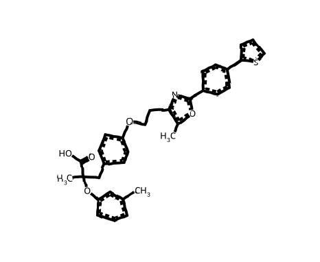 Cc1cccc(OC(C)(Cc2ccc(OCCc3nc(-c4ccc(-c5cccs5)cc4)oc3C)cc2)C(=O)O)c1